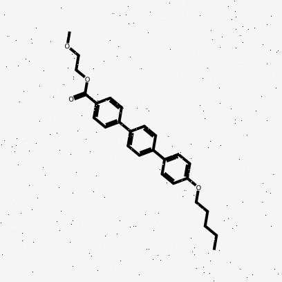 CCCCCOc1ccc(-c2ccc(-c3ccc(C(=O)OCCOC)cc3)cc2)cc1